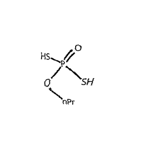 CCCOP(=O)(S)S